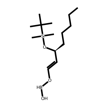 CCCCC[C@@H](/C=C/OBO)O[Si](C)(C)C(C)(C)C